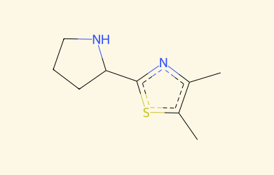 Cc1nc(C2CCCN2)sc1C